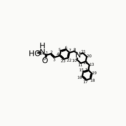 O=C(/C=C/c1ccc(CN2CCC(Cc3ccccc3)CC2)cc1)NO